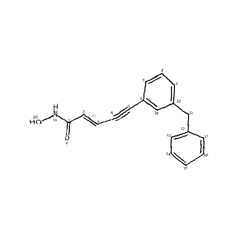 O=C(/C=C/C#Cc1cccc(Cc2ccccc2)c1)NO